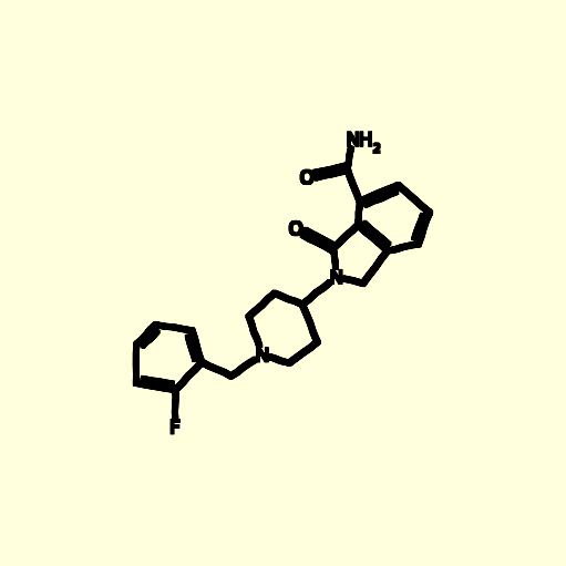 NC(=O)c1cccc2c1C(=O)N(C1CCN(Cc3ccccc3F)CC1)C2